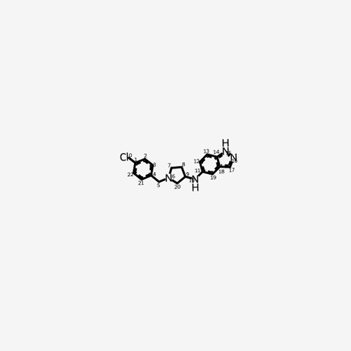 Clc1ccc(CN2CCC(Nc3ccc4[nH]ncc4c3)C2)cc1